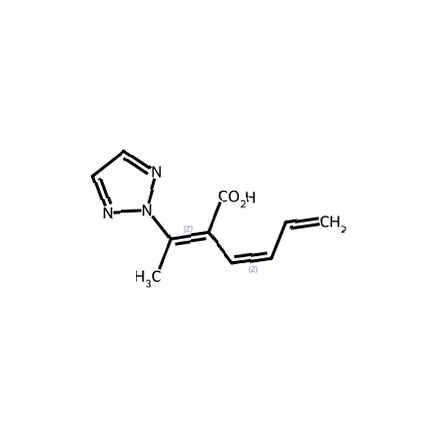 C=C/C=C\C(C(=O)O)=C(/C)n1nccn1